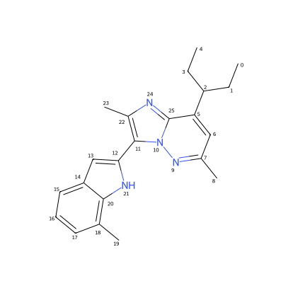 CCC(CC)c1cc(C)nn2c(-c3cc4cccc(C)c4[nH]3)c(C)nc12